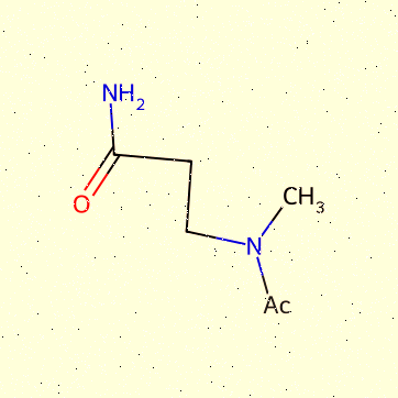 CC(=O)N(C)CCC(N)=O